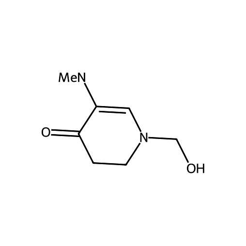 CNC1=CN(CO)CCC1=O